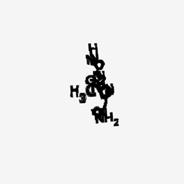 Cn1c2cc(Cc3cccc(N)n3)cnc2c2cnn(Cc3cccc4[nH]ncc34)c(=O)c21